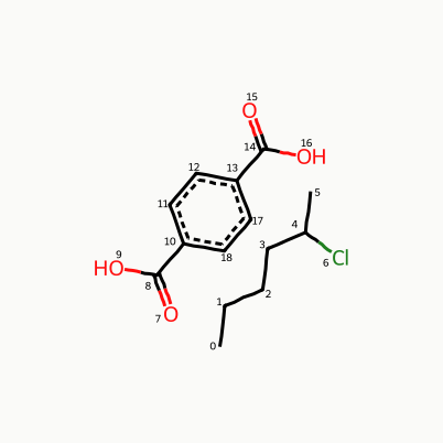 CCCCC(C)Cl.O=C(O)c1ccc(C(=O)O)cc1